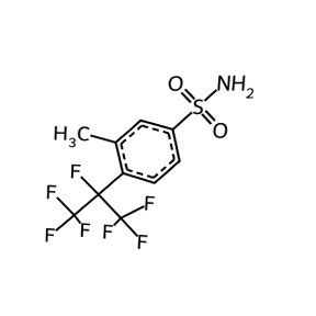 Cc1cc(S(N)(=O)=O)ccc1C(F)(C(F)(F)F)C(F)(F)F